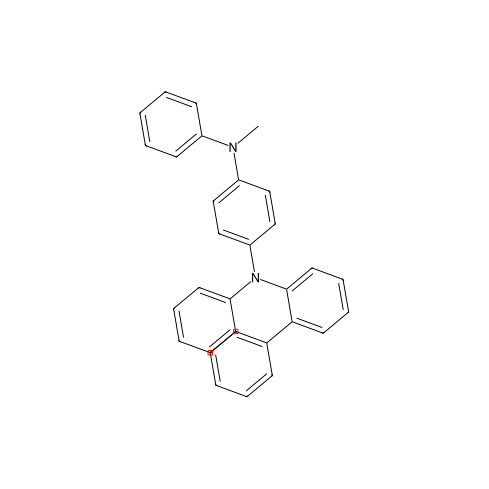 CN(c1ccccc1)c1ccc(N(c2ccccc2)c2ccccc2-c2ccccc2)cc1